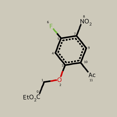 CCOC(=O)COc1cc(F)c([N+](=O)[O-])cc1C(C)=O